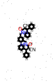 N#CC(C(=O)NCc1cccc(CNC(=O)C(C#N)C(c2ccccc2)c2ccccc2)c1)=C(c1ccccc1)c1ccccc1